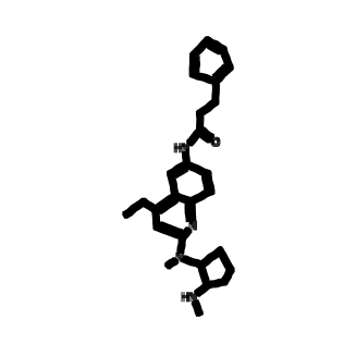 CCc1cc(N(C)C2CCCC2NC)nc2ccc(NC(=O)CCc3ccccc3)cc12